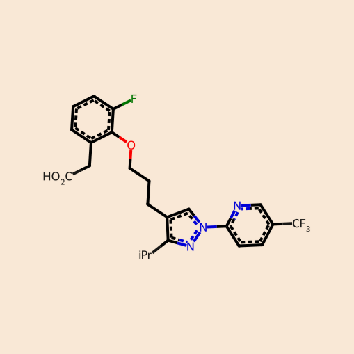 CC(C)c1nn(-c2ccc(C(F)(F)F)cn2)cc1CCCOc1c(F)cccc1CC(=O)O